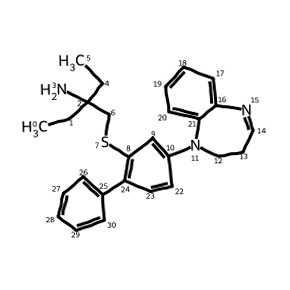 CCC(N)(CC)CSc1cc(N2CCC=Nc3ccccc32)ccc1-c1ccccc1